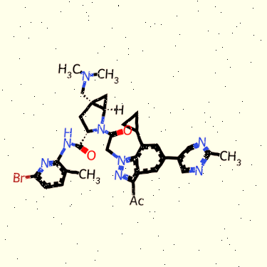 CC(=O)c1nn(CC(=O)N2[C@H](C(=O)Nc3nc(Br)ccc3C)C[C@@]3(CN(C)C)C[C@@H]23)c2c(C3CC3)cc(-c3cnc(C)nc3)cc12